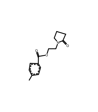 Cc1ccc(C(=O)OCCN2CCCC2=O)cc1